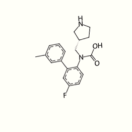 Cc1cccc(-c2cc(F)ccc2N(C[C@H]2CCNC2)C(=O)O)c1